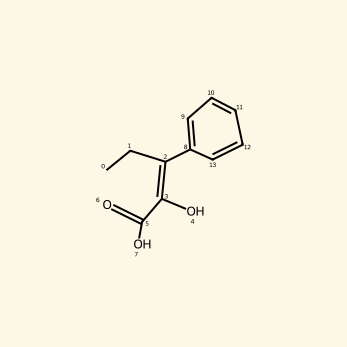 CCC(=C(O)C(=O)O)c1ccccc1